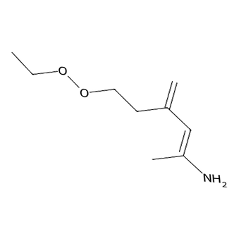 C=C(/C=C(\C)N)CCOOCC